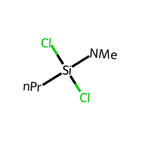 CCC[Si](Cl)(Cl)NC